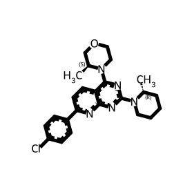 C[C@@H]1CCCCN1c1nc(N2CCOC[C@@H]2C)c2ccc(-c3ccc(Cl)cc3)nc2n1